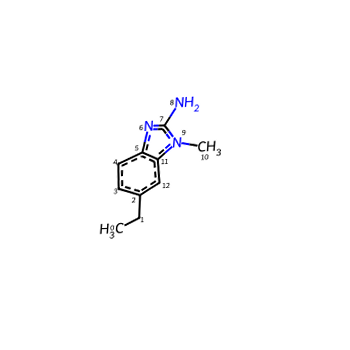 CCc1ccc2nc(N)n(C)c2c1